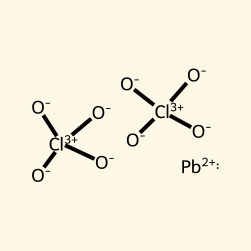 [O-][Cl+3]([O-])([O-])[O-].[O-][Cl+3]([O-])([O-])[O-].[Pb+2]